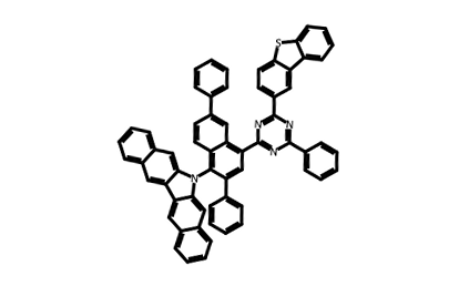 c1ccc(-c2ccc3c(-n4c5cc6ccccc6cc5c5cc6ccccc6cc54)c(-c4ccccc4)cc(-c4nc(-c5ccccc5)nc(-c5ccc6sc7ccccc7c6c5)n4)c3c2)cc1